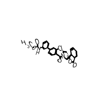 COC(=O)Nc1cccc(-c2ccc(C(=O)N3CC[C@@]4(C3)OC(=O)C3C=CC=CC34)c(Cl)c2)c1